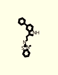 Cn1c(=NCCc2c[nH]c3ccc(-c4ccccc4)cc23)sc2ccccc21